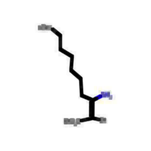 CCCCCCCCCCCCCCCCC(N)=C(CC)C(=O)OCC